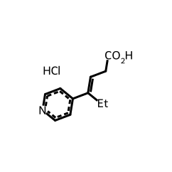 CCC(=CCC(=O)O)c1ccncc1.Cl